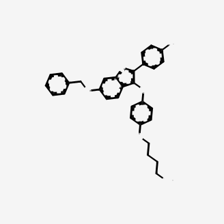 O=CCCCCOc1ccc(Oc2c(-c3ccc(Br)cc3)sc3cc(OCc4ccccc4)ccc23)cc1